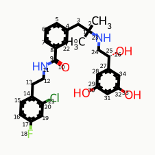 CC(C)(Cc1cccc(C(=O)NCCc2ccc(F)cc2Cl)c1)NC[C@H](O)c1cc(O)cc(O)c1